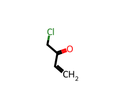 C=CC(=O)CCl